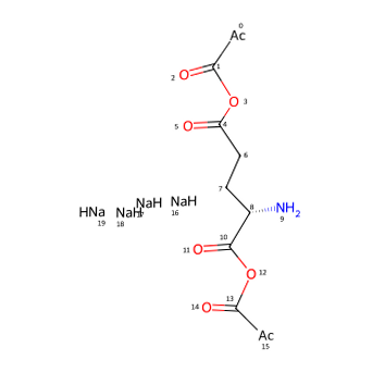 CC(=O)C(=O)OC(=O)CC[C@H](N)C(=O)OC(=O)C(C)=O.[NaH].[NaH].[NaH].[NaH]